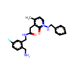 Cc1ccn(NCc2ccccc2)c(=O)c1CC(=O)NCc1cc(F)ccc1CN